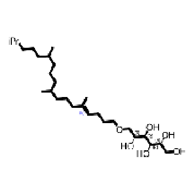 C/C(=C\CCCOC[C@@H](O)[C@@H](O)[C@H](O)[C@H](O)CO)CCCC(C)CCCC(C)CCCC(C)C